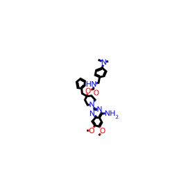 COc1cc2nc(N3CCC(Cc4ccccc4)(OC(=O)NCc4ccc(N(C)C)cc4)CC3)nc(N)c2cc1OC